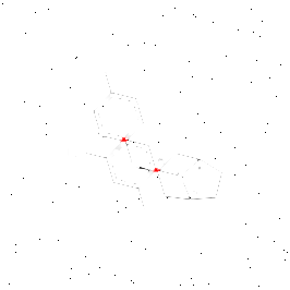 O=Cc1cc(C(F)(F)F)ccc1N1[C@@H]2CC[C@H]1C[C@@H](Oc1ccc(C(F)(F)F)cn1)C2